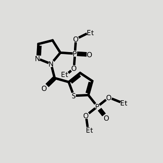 CCOP(=O)(OCC)c1ccc(C(=O)N2N=CCC2P(=O)(OCC)OCC)s1